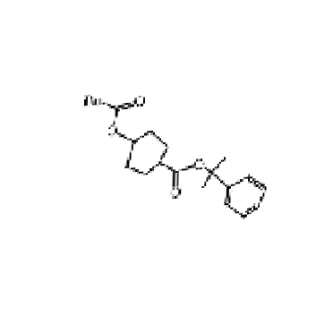 CCC(C)C(=O)OC1CCC(C(=O)OC(C)(C)c2ccccc2)CC1